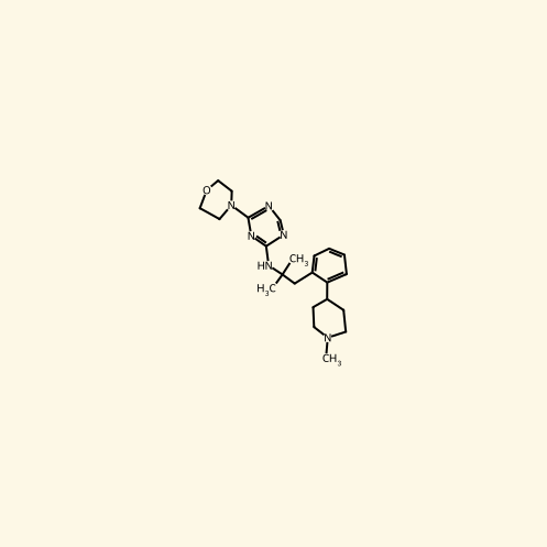 CN1CCC(c2ccccc2CC(C)(C)Nc2ncnc(N3CCOCC3)n2)CC1